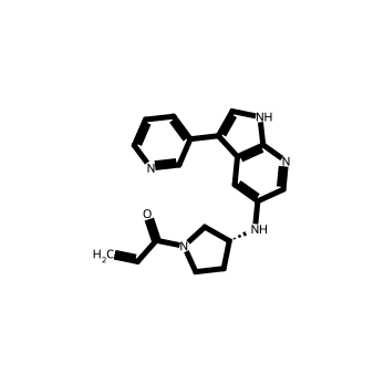 C=CC(=O)N1CC[C@@H](Nc2cnc3[nH]cc(-c4cccnc4)c3c2)C1